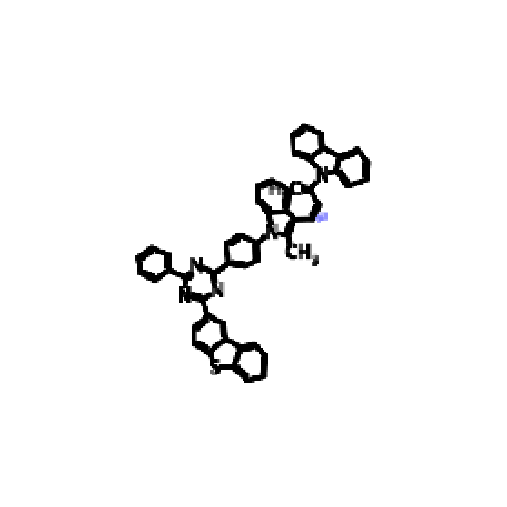 C=C(/C=C\c1c(C)n(-c2ccc(-c3nc(-c4ccccc4)nc(-c4ccc5sc6ccccc6c5c4)n3)cc2)c2ccccc12)n1c2ccccc2c2ccccc21